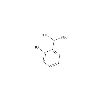 CCCCC(C=O)c1ccccc1O